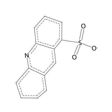 [O]S(=O)(=O)c1cccc2nc3ccccc3cc12